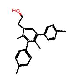 Cc1ccc(-c2[c]c(CCO)c(C)c(-c3ccc(C)cc3)c2C)cc1